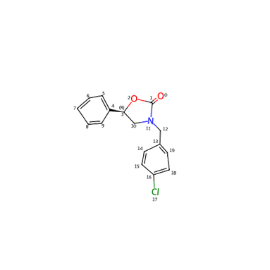 O=C1O[C@H](c2ccccc2)CN1Cc1ccc(Cl)cc1